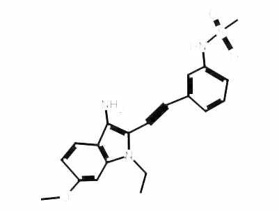 CCn1c(C#Cc2cccc(NS(C)(=O)=O)c2)c(N)c2ccc(OC)cc21